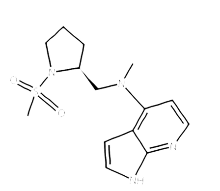 CN(C[C@@H]1CCCN1S(C)(=O)=O)c1ccnc2[nH]ccc12